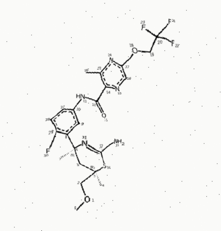 COC[C@@]1(C)C[C@@](C)(c2cc(NC(=O)c3ncc(OCC(F)(F)F)nc3C)ccc2F)N=C(N)S1